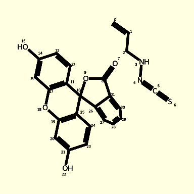 C=CCNN=C=S.O=C1OC2(c3ccc(O)cc3Oc3cc(O)ccc32)c2ccccc21